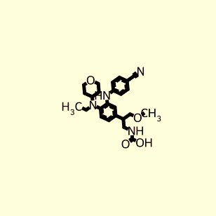 CCN(c1ccc(C(CNC(=O)O)COC)cc1Nc1ccc(C#N)cc1)C1CCOCC1